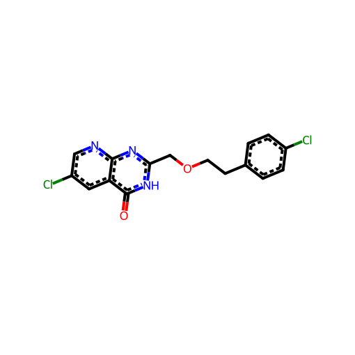 O=c1[nH]c(COCCc2ccc(Cl)cc2)nc2ncc(Cl)cc12